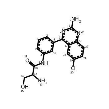 Nc1nc(-c2cccc(NC(=O)C(N)CO)c2)c2cc(Cl)ccc2n1